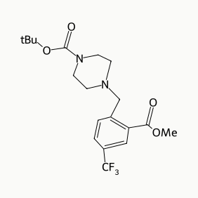 COC(=O)c1cc(C(F)(F)F)ccc1CN1CCN(C(=O)OC(C)(C)C)CC1